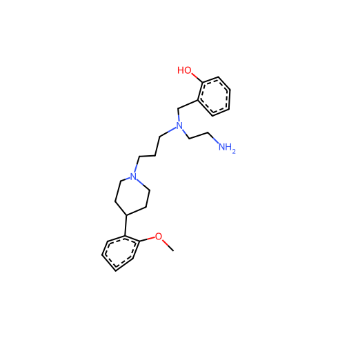 COc1ccccc1C1CCN(CCCN(CCN)Cc2ccccc2O)CC1